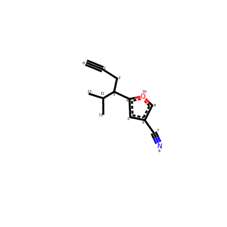 C#CCC(c1cc(C#N)co1)C(C)C